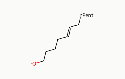 CCCCCCC=CCCCC[O]